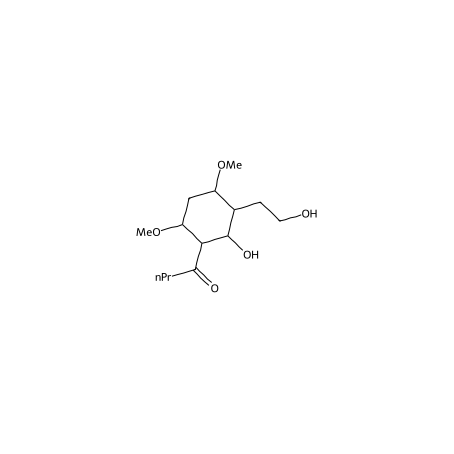 CCCC(=O)C1C(OC)CC(OC)C(CCO)C1O